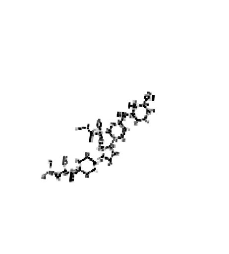 CCNS(=O)(=O)c1cc(NC2=CC=NC(O)N2)ccc1-c1cnc([C@H]2CC[C@H](NC(=O)OC(C)C)CC2)s1